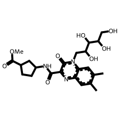 COC(=O)C1CCC(NC(=O)c2nc3cc(C)c(C)cc3n(CC(O)C(O)C(O)CO)c2=O)C1